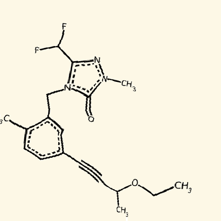 CCOC(C)C#Cc1ccc(C)c(Cn2c(C(F)F)nn(C)c2=O)c1